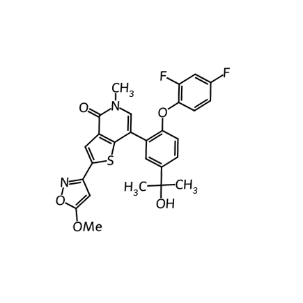 COc1cc(-c2cc3c(=O)n(C)cc(-c4cc(C(C)(C)O)ccc4Oc4ccc(F)cc4F)c3s2)no1